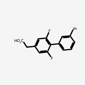 CC(C)c1cccc(-c2c(F)cc(CC(=O)O)cc2F)c1